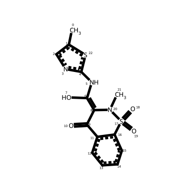 Cc1cnc(NC(O)=C2C(=O)c3ccccc3S(=O)(=O)N2C)s1